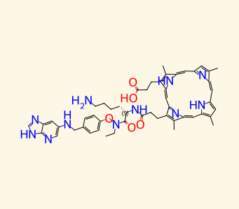 CCN(Oc1ccc(CNc2cnc3[nH]cnc3c2)cc1)C(=O)[C@H](CCCCN)NC(=O)CCC1=C(C)c2cc3[nH]c(cc4nc(cc5[nH]c(cc1n2)c(CCC(=O)O)c5C)C=C4C)cc3C